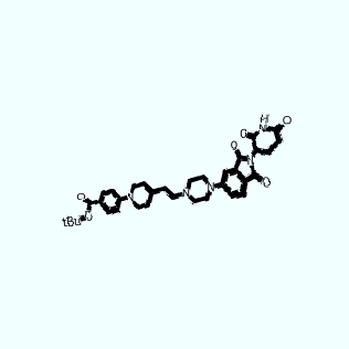 CC(C)(C)OC(=O)c1ccc(N2CCC(CCN3CCN(c4ccc5c(c4)C(=O)N(C4CCC(=O)NC4=O)C5=O)CC3)CC2)cc1